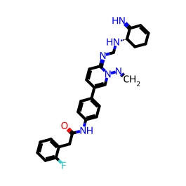 C=Nn1cc(-c2ccc(NC(=O)Cc3ccccc3F)cc2)cc/c1=N/CN[C@H]1CCC=CC1=N